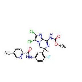 CC(C)(C)OC(=O)NC1=NC(C)(c2cc(NC(=O)c3ccc(C#N)cn3)ccc2F)Cn2c1nc(Cl)c2Cl